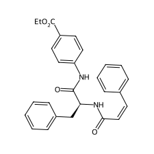 CCOC(=O)c1ccc(NC(=O)[C@H](Cc2ccccc2)NC(=O)/C=C\c2ccccc2)cc1